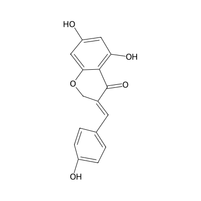 O=C1C(=Cc2ccc(O)cc2)COc2cc(O)cc(O)c21